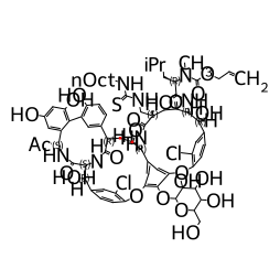 C=CCOC(=O)N(C)[C@H](CC(C)C)C(=O)N[C@H]1C(=O)C[C@@H](CNC(=S)NCCCCCCCC)C(=O)N[C@H]2C(=O)C[C@H]3C(=O)N[C@H](C(=O)N[C@H](C(C)=O)c4cc(O)cc(O)c4-c4cc3ccc4O)[C@H](O)c3ccc(c(Cl)c3)Oc3cc2cc(c3OC2OC(CO)C(O)C(O)C2O)Oc2ccc(cc2Cl)[C@H]1O